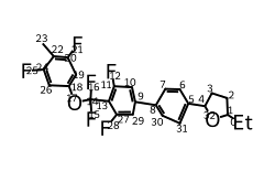 CCC1CCC(c2ccc(-c3cc(F)c(C(F)(F)Oc4cc(F)c(C)c(F)c4)c(F)c3)cc2)O1